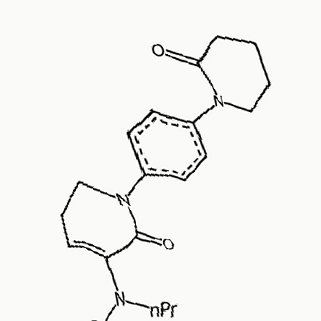 CCCN(CCC)C1=CCCN(c2ccc(N3CCCCC3=O)cc2)C1=O